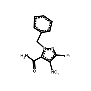 CCCc1nn(Cc2ccccc2)c(C(N)=O)c1[N+](=O)[O-]